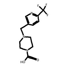 O=C(O)N1CCN(Cc2ccc(C(F)(F)F)nc2)CC1